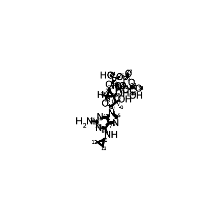 C[C@]1(O)[C@H](n2cnc3c(NC4CC4)nc(N)nc32)O[C@@H]2C(OP(=O)(O)OP(=O)(O)OP(=O)(O)O)[C@@]21O